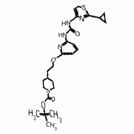 CC(C)(C)OC(=O)N1CCC(CCOc2cccc(NC(=O)Nc3csc(C4CC4)n3)n2)CC1